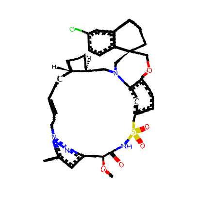 COC1C(=O)NS(=O)(=O)c2ccc3c(c2)N(C[C@@H]2CC[C@H]2C/C=C/Cn2nc1cc2C)C[C@@]1(CCCc2cc(Cl)ccc21)CO3